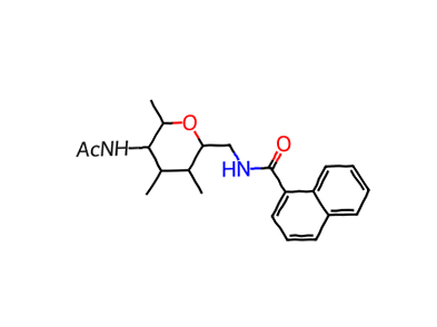 CC(=O)NC1C(C)OC(CNC(=O)c2cccc3ccccc23)C(C)C1C